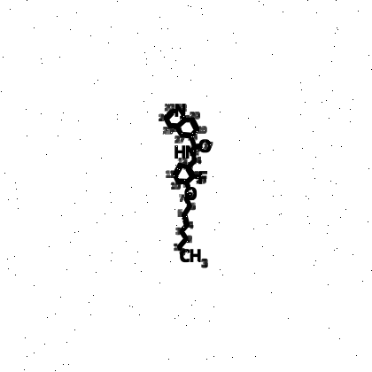 CCCCC=CCCOc1cccc(CNC(=O)c2ccc3ncccc3c2)c1F